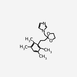 Cc1cc(C)c(C)c(CCC2(Cn3ccnc3)OCCO2)c1C